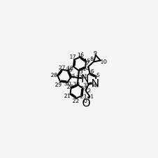 O=CCc1ncc(CC2CC2)n1C(c1ccccc1)(c1ccccc1)c1ccccc1